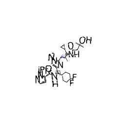 C=Nn1cc([C@@H](NC(=O)c2ccnn2C(C)C)C2CCC(F)(F)CC2)nc1/C=C(\C)[C@H](NC(=O)CC(C)(C)O)C1CC1